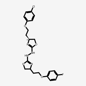 Fc1ccc(OCCC2COC(NNC3=N[C@@H](CCOc4ccc(Cl)cc4)CO3)=N2)cc1